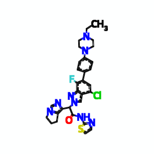 CCN1CCN(c2ccc(-c3cc(Cl)c4cn(C(C(=O)Nc5nccs5)c5ncn6c5CCC6)nc4c3F)cc2)CC1